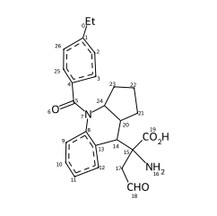 CCc1ccc(C(=O)N2c3ccccc3C(C(N)(CC=O)C(=O)O)C3CCCC32)cc1